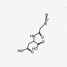 [N-]=[N+]=NCC(=O)NC(CC(=O)O)C(=O)O